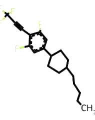 CCCCCC1CCC(c2cc(F)c(C#CC(F)(F)F)c(F)c2)CC1